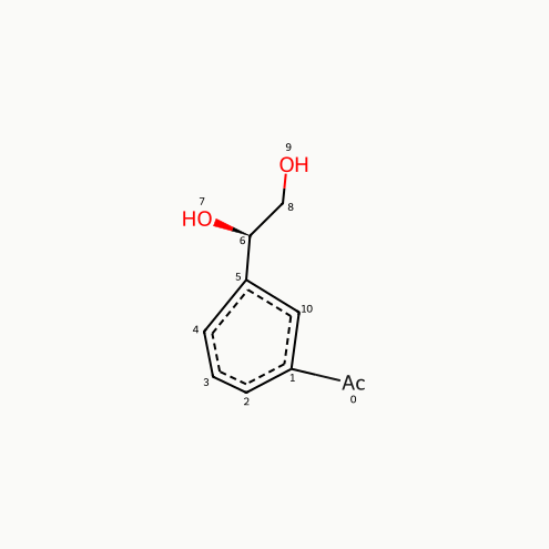 CC(=O)c1cccc([C@@H](O)CO)c1